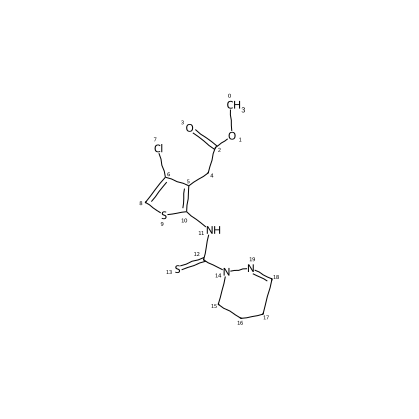 COC(=O)Cc1c(Cl)csc1NC(=S)N1CCCC=N1